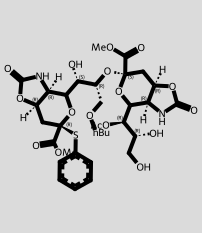 CCCCOC[C@@H](O[C@]1(C(=O)OC)C[C@H]2OC(=O)N[C@H]2C([C@H](OC(C)=O)[C@H](O)CO)O1)[C@@H](O)C1O[C@](Sc2ccccc2)(C(=O)OC)C[C@H]2OC(=O)N[C@@H]12